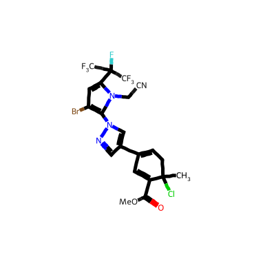 COC(=O)C1=CC(c2cnn(-c3c(Br)cc(C(F)(C(F)(F)F)C(F)(F)F)n3CC#N)c2)=CCC1(C)Cl